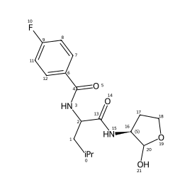 CC(C)CC(NC(=O)c1ccc(F)cc1)C(=O)N[C@H]1CCOC1O